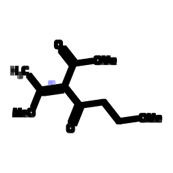 COCCC(=O)/C(C(=O)OC)=C(/C)OC